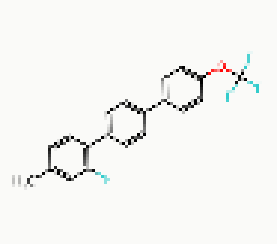 Cc1ccc(-c2ccc(-c3ccc(OC(F)(F)F)cc3)cc2)c(F)c1